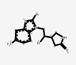 CCC(Cn1c(C(C)C)nc2cc(C(F)(F)F)ccc21)C1CNC(=O)C1